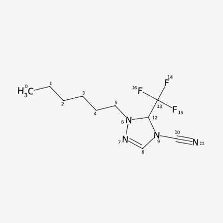 CCCCCCN1N=CN(C#N)C1C(F)(F)F